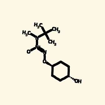 CN(/[N+]([O-])=N/O[C@H]1CC[C@H](O)CC1)C(C)(C)C